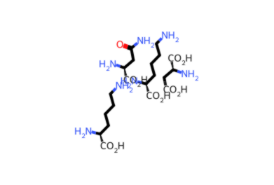 NC(=O)C[C@H](N)C(=O)O.NCCCC[C@H](N)C(=O)O.NCCCC[C@H](N)C(=O)O.N[C@@H](CC(=O)O)C(=O)O